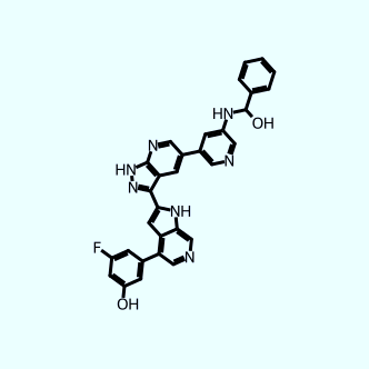 Oc1cc(F)cc(-c2cncc3[nH]c(-c4n[nH]c5ncc(-c6cncc(NC(O)c7ccccc7)c6)cc45)cc23)c1